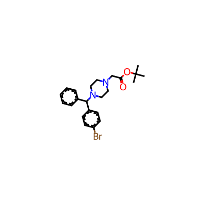 CC(C)(C)OC(=O)CN1CCN(C(c2ccccc2)c2ccc(Br)cc2)CC1